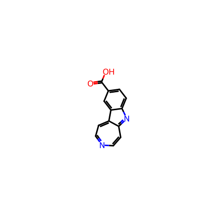 O=C(O)c1ccc2nc3ccnccc-3c2c1